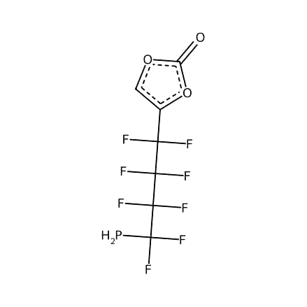 O=c1occ(C(F)(F)C(F)(F)C(F)(F)C(F)(F)P)o1